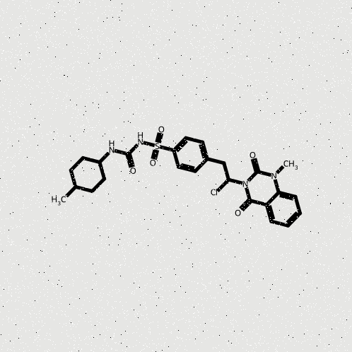 CC1CCC(NC(=O)NS(=O)(=O)c2ccc(CC(Cl)n3c(=O)c4ccccc4n(C)c3=O)cc2)CC1